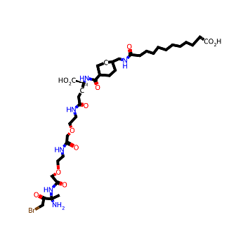 CC(N)(NC(=O)COCCNC(=O)COCCNC(=O)CC[C@H](NC(=O)C1CCC(CNC(=O)CCCCCCCCCCC(=O)O)CC1)C(=O)O)C(=O)CBr